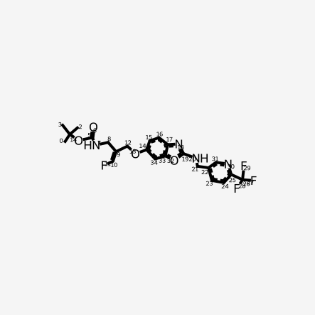 CC(C)(C)OC(=O)NCC(=CF)COc1ccc2nc(NCc3ccc(C(F)(F)F)nc3)oc2c1